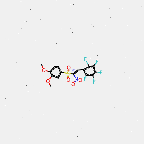 COc1ccc(S(=O)(=O)/C(=C/c2c(F)c(F)c(F)c(F)c2F)[N+](=O)[O-])cc1OC